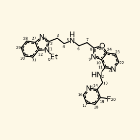 CCn1c(CCNCCc2nc3c(NCc4ncccc4F)nccc3o2)nc2ccccc21